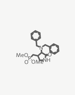 COP(=O)(CC1CNC(=O)C1N(Cc1ccccc1)Cc1ccccc1)OC